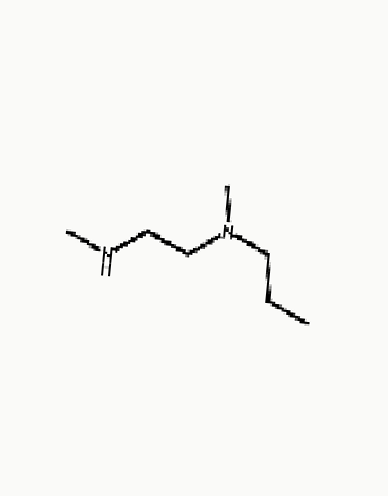 [CH2]CCN(C)CCNC